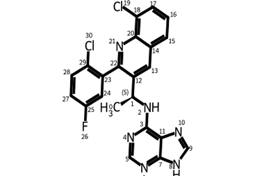 C[C@H](Nc1ncnc2[nH]cnc12)c1cc2cccc(Cl)c2nc1-c1cc(F)ccc1Cl